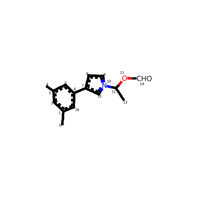 Cc1cc(C)cc(-c2ccn(C(C)OC=O)c2)c1